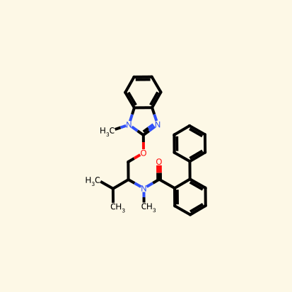 CC(C)C(COc1nc2ccccc2n1C)N(C)C(=O)c1ccccc1-c1ccccc1